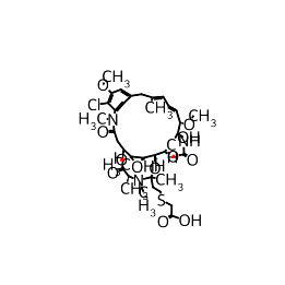 COc1cc2cc(c1Cl)N(C)C(=O)C[C@@H]1OC(=O)[C@H](C)N(C)C(C)(CCSCC(=O)O)O[C@H]([C@@H]3C[C@@](O)(NC(=O)O3)[C@H](OC)/C=C/C=C(\C)C2)[C@@H]2O[C@@]12C